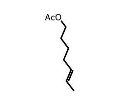 CC=CCCCCOC(C)=O